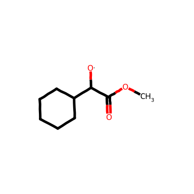 COC(=O)C([O])C1CCCCC1